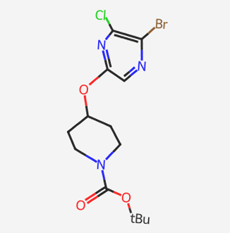 CC(C)(C)OC(=O)N1CCC(Oc2cnc(Br)c(Cl)n2)CC1